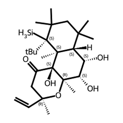 C=C[C@@]1(C)CC(=O)[C@]2(O)[C@]3(C)[C@@H]([C@H](O)[C@H](O)[C@@]2(C)O1)C(C)(C)CC(C)(C)[C@@]3([SiH3])C(C)(C)C